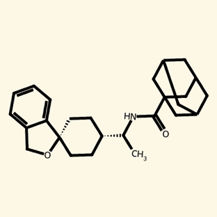 CC(NC(=O)C12CC3CC(CC(C3)C1)C2)[C@H]1CC[C@]2(CC1)OCc1ccccc12